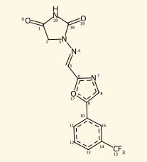 O=C1CN(N=Cc2ncc(-c3cccc(C(F)(F)F)c3)o2)C(=O)N1